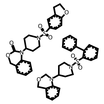 O=C1OCc2ccccc2N1C1CCN(S(=O)(=O)c2ccc3c(c2)CCO3)CC1.O=S(=O)(c1ccccc1-c1ccccc1)N1CCC(N2COCc3ccccc32)CC1